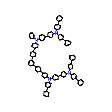 c1ccc(-c2ccc(N(c3ccc(-c4ccccc4)cc3)c3ccc(-c4ccc(N(c5ccccc5)c5ccc(-c6ccc(-c7cccc(-c8ccc(-c9ccc(N(c%10ccc(-c%11ccccc%11)cc%10)c%10ccc(-c%11ccc(N(c%12ccc(-c%13ccccc%13)cc%12)c%12ccc(-c%13ccccc%13)cc%12)cc%11)cc%10)cc9)cc8)c7)cc6)cc5)cc4)cc3)cc2)cc1